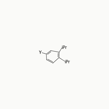 CC(C)c1cc[c]([Y])cc1C(C)C